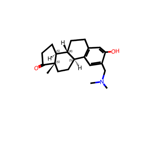 CN(C)Cc1cc2c(cc1O)CC[C@@H]1[C@@H]2CC[C@]2(C)C(=O)CC[C@@H]12